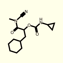 CN(C#N)C(=O)C(CC1CCCCC1)OC(=O)NC1CC1